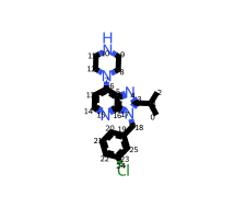 CC(C)c1nc2c(N3CCNCC3)ccnc2n1Cc1cccc(Cl)c1